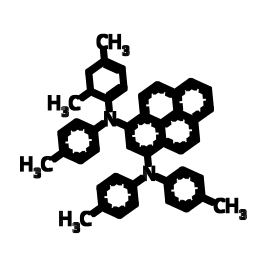 CC1=CC=C(N(c2ccc(C)cc2)c2cc(N(c3ccc(C)cc3)c3ccc(C)cc3)c3ccc4cccc5ccc2c3c54)C(C)C1